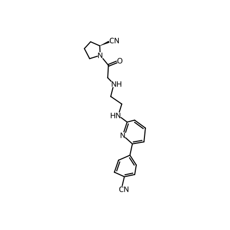 N#Cc1ccc(-c2cccc(NCCNCC(=O)N3CCC[C@H]3C#N)n2)cc1